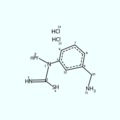 CCCN(C(=N)S)c1cccc(CN)c1.Cl.Cl